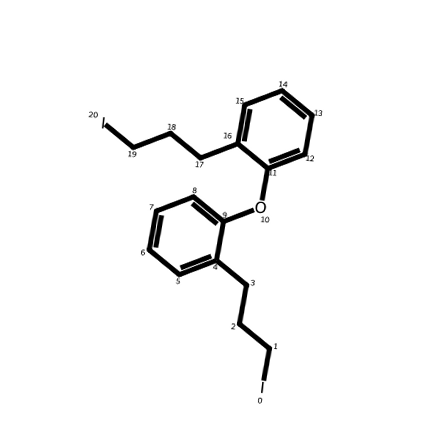 ICCCc1ccccc1Oc1ccccc1CCCI